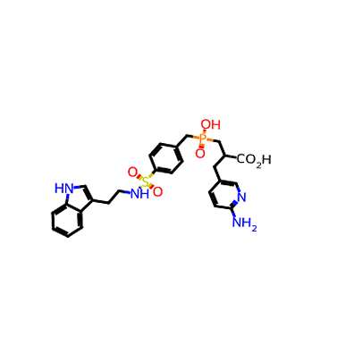 Nc1ccc(CC(CP(=O)(O)Cc2ccc(S(=O)(=O)NCCc3c[nH]c4ccccc34)cc2)C(=O)O)cn1